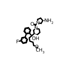 COCCCC[C@@](O)(c1ccccc1-c1cccc(F)c1)[C@@H]1CCCN(C(=O)N2CC[C@H](N)C2)C1